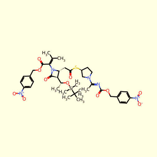 CC(C)=C(C(=O)OCc1ccc([N+](=O)[O-])cc1)N1C(=O)[C@H]([C@@H](C)O[Si](C)(C)C(C)(C)C)[C@H]1CC(=O)S[C@H]1CCN(/C(C)=N/C(=O)OCc2ccc([N+](=O)[O-])cc2)C1